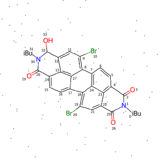 CCC(C)N1C(=O)c2ccc3c4c(Br)cc5c6c(ccc(c7c(Br)cc(c2c37)C1=O)c64)C(=O)N(C(C)CC)C5O